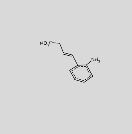 Nc1ccccc1C=CCC(=O)O